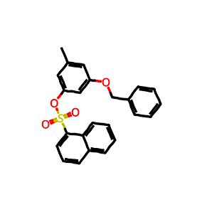 Cc1cc(OCc2ccccc2)cc(OS(=O)(=O)c2cccc3ccccc23)c1